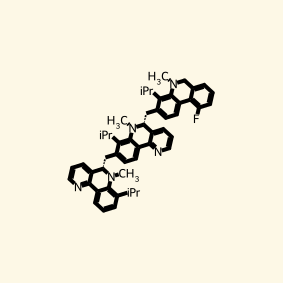 CC(C)c1cccc2c1N(C)[C@@H](Cc1ccc3c(c1C(C)C)N(C)[C@H](Cc1ccc4c(c1C(C)C)N(C)Cc1cccc(F)c1-4)c1cccnc1-3)c1cccnc1-2